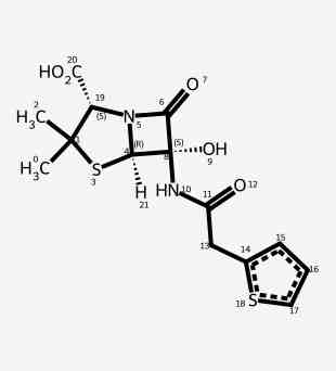 CC1(C)S[C@H]2N(C(=O)[C@@]2(O)NC(=O)Cc2cccs2)[C@H]1C(=O)O